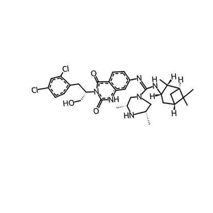 C[C@H]1[C@@H](NC(=Nc2ccc3c(=O)n([C@H](CO)Cc4ccc(Cl)cc4Cl)c(=O)[nH]c3c2)N2C[C@@H](C)N[C@@H](C)C2)C[C@@H]2C[C@@H]1C2(C)C